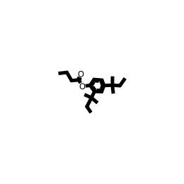 CCCC(=O)Oc1ccc(C(C)(C)CC)cc1C(C)(C)CC